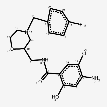 Nc1cc(O)c(C(=O)NCC2CN(Cc3ccc(F)cc3)CCO2)cc1Cl